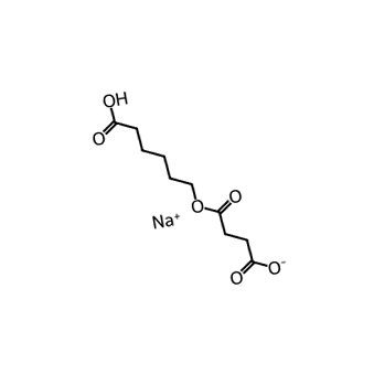 O=C([O-])CCC(=O)OCCCCCC(=O)O.[Na+]